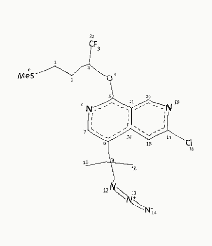 CSCCC(Oc1ncc(C(C)(C)N=[N+]=[N-])c2cc(Cl)ncc12)C(F)(F)F